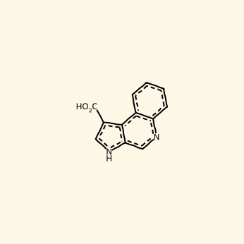 O=C(O)c1c[nH]c2cnc3ccccc3c12